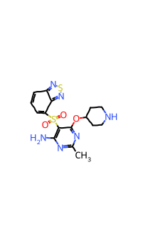 Cc1nc(N)c(S(=O)(=O)c2cccc3nsnc23)c(OC2CCNCC2)n1